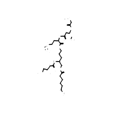 CCCCCCCCCCCC(=O)O[C@H](CCCCCCCCCCC)CC(=O)NC(CCOP(=O)(O)O)C(=O)NCCCC(COC(=O)CCCCCN)NC(=O)C[C@H](O)CCCCCCCCCCC